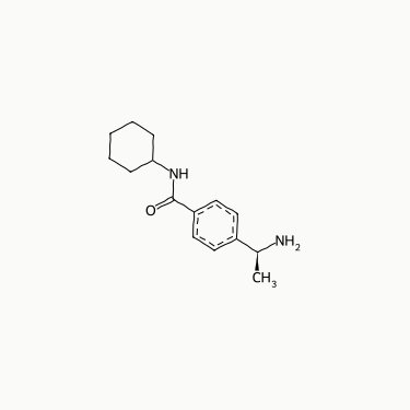 C[C@H](N)c1ccc(C(=O)NC2CCCCC2)cc1